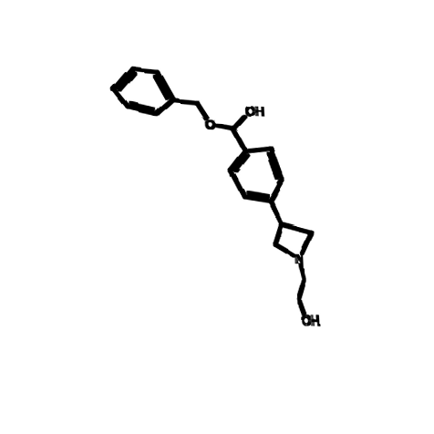 OCCN1CC(c2ccc(C(O)OCc3ccccc3)cc2)C1